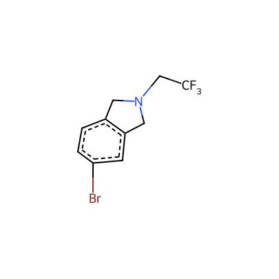 FC(F)(F)CN1Cc2ccc(Br)cc2C1